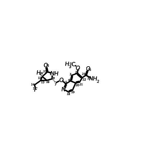 COc1cc2c(OC[C@H]3NC(=O)[C@@H]4C(CF)C43)nccc2cc1C(N)=O